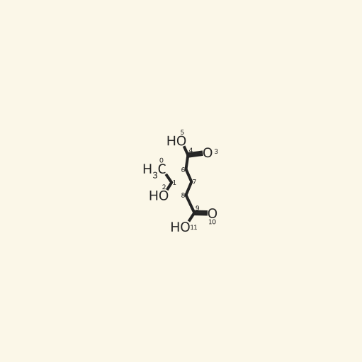 CCO.O=C(O)CCCC(=O)O